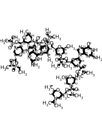 CCP(=O)(OC[C@@H]1CN(P(=O)(OC[C@@H]2CN(P(=O)(OC[C@@H]3CN(P(=O)(OC[C@@H]4CN(P(=O)(OC[C@@H]5CN(P(=O)(OC[C@@H]6CN(P(=O)(OC[C@@H]7CN(C(C)C)C[C@H](C)O7)N(C)C)C[C@H](C)O6)N(C)C)C[C@H](n6cnc7c(=O)[nH]c(N)nc76)O5)N(C)C)C[C@H](C)O4)N(C)C)C[C@H](C)O3)N(C)C)C[C@H](C)O2)N(C)C)C[C@H](n2cnc3c(=O)[nH]c(N)nc32)O1)N(C)C